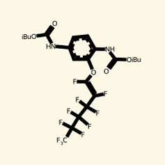 CC(C)COC(=O)Nc1ccc(NC(=O)OCC(C)C)c(OC(F)=C(F)C(F)(F)C(F)(F)C(F)(F)C(F)(F)F)c1